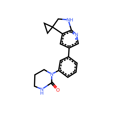 O=C1NCCCN1c1cccc(-c2cnc3c(c2)C2(CC2)CN3)c1